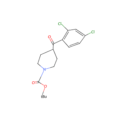 CC(C)(C)OC(=O)N1CCC(C(=O)c2ccc(Cl)cc2Cl)CC1